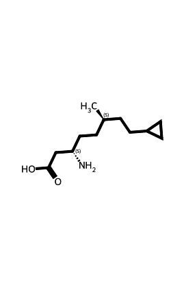 C[C@@H](CCC1CC1)CC[C@H](N)CC(=O)O